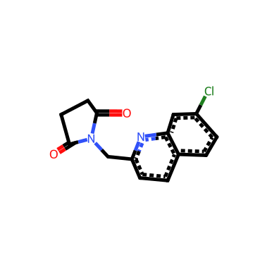 O=C1CCC(=O)N1Cc1ccc2ccc(Cl)cc2n1